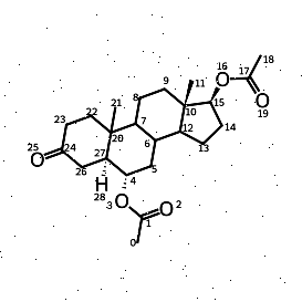 CC(=O)O[C@H]1CC2C(CC[C@@]3(C)C2CC[C@@H]3OC(C)=O)C2(C)CCC(=O)C[C@H]12